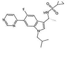 CC(C)Cn1cc([C@@H](C)NS(=O)(=O)C2CC2)c2cc(F)c(-c3ccncn3)cc21